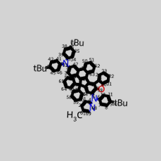 Cc1ccc(N(c2ccc(C(C)(C)C)cc2)c2cc3c(c4c2oc2ccccc24)-c2c(c4ccc(N(c5ccc(C(C)(C)C)cc5)c5ccc(C(C)(C)C)cc5)cc4c4ccccc24)C3(c2ccccc2)c2ccccc2)nc1